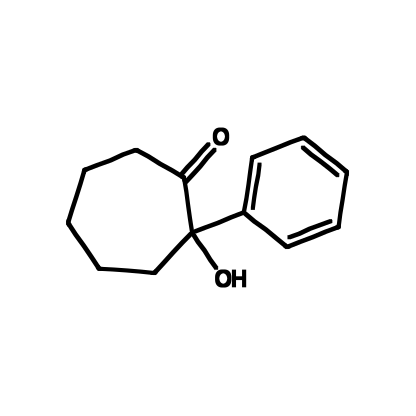 O=C1CCCCCC1(O)c1ccccc1